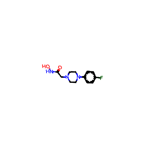 O=C(CN1CCN(c2ccc(F)cc2)CC1)NO